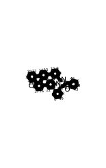 c1ccc(-c2nc(-c3cccc(-c4ccc5c(c4)c4c(-c6ccccc6)ccc6oc7cccc5c7c64)c3)nc3c2oc2ccccc23)cc1